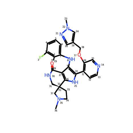 Cc1c(F)cccc1Nc1c(-c2ccncc2OCc2cnn(C)c2)[nH]c2c1C(=O)NC[C@]21CCN(C)C1